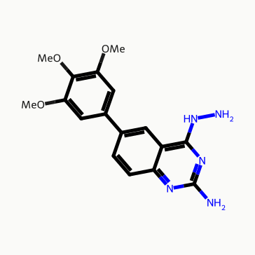 COc1cc(-c2ccc3nc(N)nc(NN)c3c2)cc(OC)c1OC